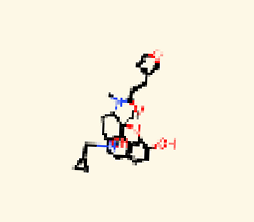 CN(C(=O)/C=C/c1ccoc1)[C@@H]1CCC2(O)C3Cc4ccc(O)c5c4[C@@]2(CCN3CC2CC2)[C@@H]1O5